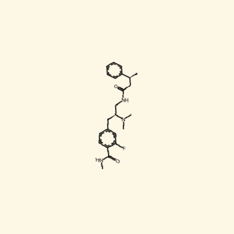 CNC(=O)c1ccc(C[C@@H](CNC(=O)C[C@H](C)c2ccccc2)N(C)C)cc1F